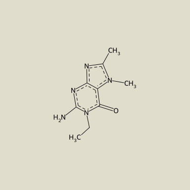 CCn1c(N)nc2nc(C)n(C)c2c1=O